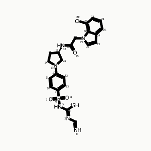 N=C/N=C(\S)NS(=O)(=O)c1ccc(N2CC[C@@H](NC(=O)Cn3ccc4cccc(Cl)c43)C2)cc1